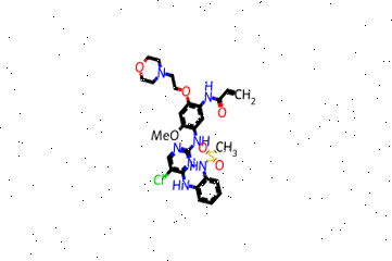 C=CC(=O)Nc1cc(Nc2ncc(Cl)c(Nc3ccccc3NS(C)(=O)=O)n2)c(OC)cc1OCCN1CCOCC1